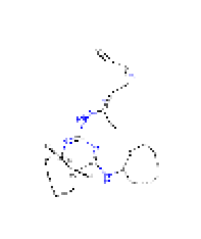 C#C/C=C\C=C(/C)NC1=N[C@H]2CCCC[C@H]2C(NC2CCCCC2)=N1